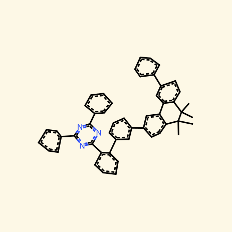 CC1(C)c2ccc(-c3ccccc3)cc2-c2cc(-c3cccc(-c4ccccc4-c4nc(-c5ccccc5)nc(-c5ccccc5)n4)c3)ccc2C1(C)C